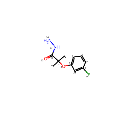 CC(C)(Oc1cccc(F)c1)C(=O)NN